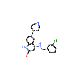 O=c1cc(NCc2cccc(Cl)c2)c2cc(-c3ccncc3)ccc2[nH]1